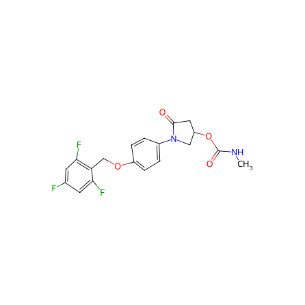 CNC(=O)OC1CC(=O)N(c2ccc(OCc3c(F)cc(F)cc3F)cc2)C1